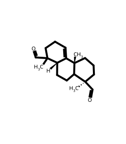 CC1(C=O)CCC=C2[C@@H]1CCC1[C@@]2(C)CCC[C@@]1(C)C=O